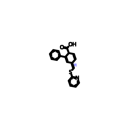 O=C(O)C1C=C/C(=C/Sc2ccccn2)C=C1c1ccccc1